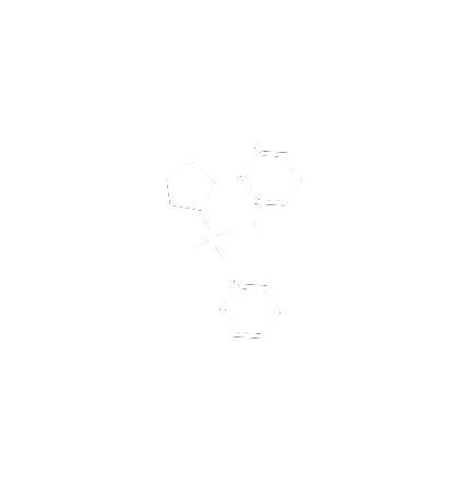 O=P(O)(O)C1CCOC1.c1ccncc1.c1ccncc1